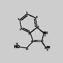 CCCc1[nH]c2ccccc2c1CO